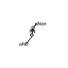 CCCCCCCCCC=CCOc1cnc(-c2ccc(CCCCCCOCCC)cc2)nc1